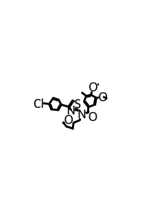 COc1cc(C(=O)N(CC2CCCO2)c2nc(-c3ccc(Cl)cc3)cs2)cc(C)c1OC